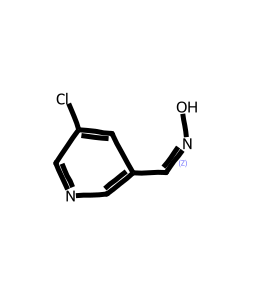 O/N=C\c1cncc(Cl)c1